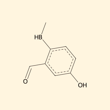 CBc1ccc(O)cc1C=O